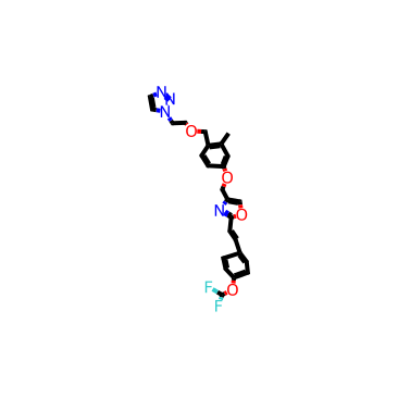 Cc1cc(OCc2coc(/C=C/c3ccc(OC(F)F)cc3)n2)ccc1COCCn1ccnn1